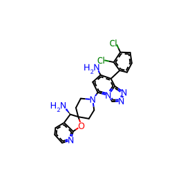 Nc1cc(N2CCC3(CC2)Oc2ncccc2[C@H]3N)n2cnnc2c1-c1cccc(Cl)c1Cl